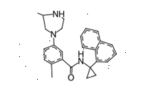 Cc1ccc(N2CCNC(C)C2)cc1C(=O)NC1(c2cccc3ccccc23)CC1